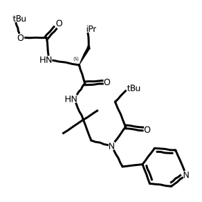 CC(C)C[C@H](NC(=O)OC(C)(C)C)C(=O)NC(C)(C)CN(Cc1ccncc1)C(=O)CC(C)(C)C